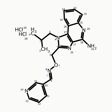 CC(C)Cn1c(CO/N=C/c2cccnc2)nc2c(N)nc3ccccc3c21.Cl.Cl